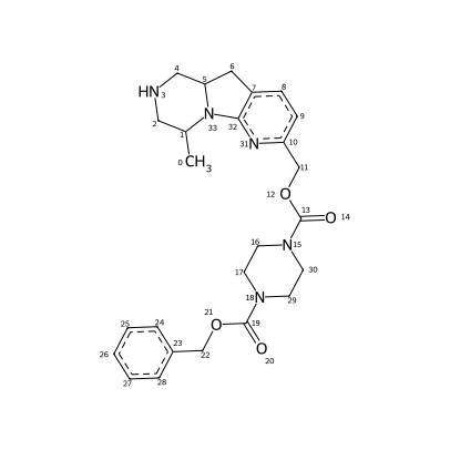 CC1CNCC2Cc3ccc(COC(=O)N4CCN(C(=O)OCc5ccccc5)CC4)nc3N12